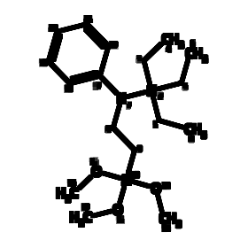 CC[Si](CC)(CC)N(CC[Si](OC)(OC)OC)c1ccccc1